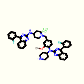 CCOc1cc(CN2CCC(Nc3nc(-c4ccccc4F)c4ccccc4n3)CC2)ccc1N(c1nc(-c2ccccc2F)c2ccccc2n1)C1CCNCC1.Cl.Cl